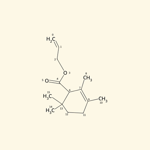 C=CCOC(=O)C1C(C)=C(C)CCC1(C)C